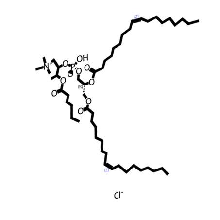 CCCCCCCC/C=C\CCCCCCCC(=O)OC[C@H](COP(=O)(O)OC(C[N+](C)(C)C)C(C)OC(=O)CCCCC)OC(=O)CCCCCCC/C=C\CCCCCCCC.[Cl-]